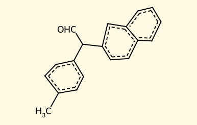 Cc1ccc(C(C=O)c2ccc3ccccc3c2)cc1